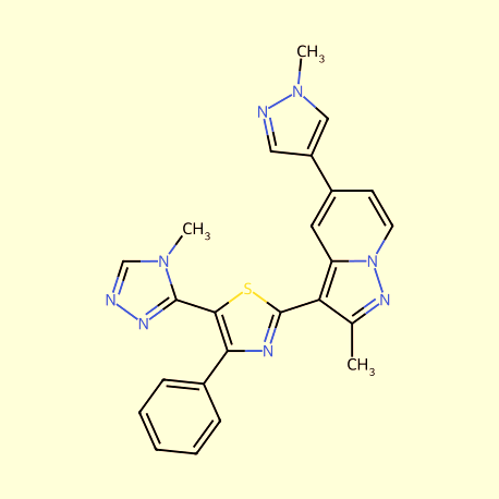 Cc1nn2ccc(-c3cnn(C)c3)cc2c1-c1nc(-c2ccccc2)c(-c2nncn2C)s1